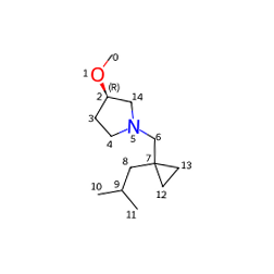 CO[C@@H]1CCN(CC2(CC(C)C)CC2)C1